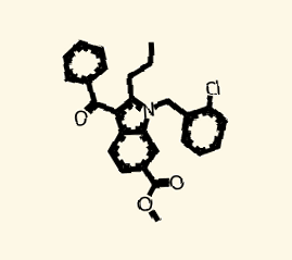 CCCc1c(C(=O)c2ccccc2)c2ccc(C(=O)OC)cc2n1Cc1ccccc1Cl